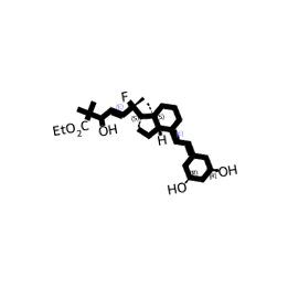 CCOC(=O)C(C)(C)C(O)/C=C/[C@](C)(F)[C@H]1CC[C@H]2/C(=C/C=C3C[C@@H](O)C[C@H](O)C3)CCC[C@@]21C